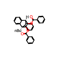 CCCC[C@]12c3ccccc3[C@H](c3ccccc31)C(OC(=O)c1ccccc1)C2OC(=O)c1ccccc1